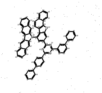 c1ccc(-c2ccc(-c3nc(-c4cccc(-c5ccccc5)c4)nc(-c4cc(-n5c6cc7ccccc7cc6c6cc7ccccc7cc65)c5c(c4)oc4c6ccccc6ccc45)n3)cc2)cc1